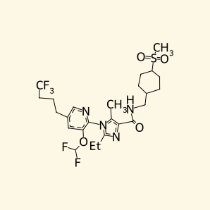 CCc1nc(C(=O)NCC2CCC(S(C)(=O)=O)CC2)c(C)n1-c1ncc(CCCC(F)(F)F)cc1OC(F)F